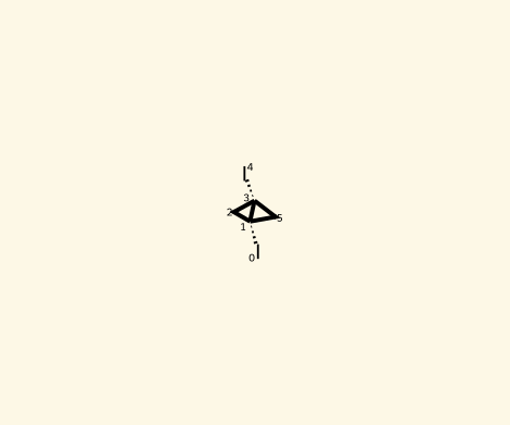 I[C@]12C[C@@]1(I)C2